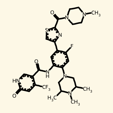 CC1CN(c2cc(F)c(-c3csc(C(=O)N4CCN(C)CC4)n3)cc2NC(=O)c2c[nH]c(=O)cc2C(F)(F)F)CC(C)N1C